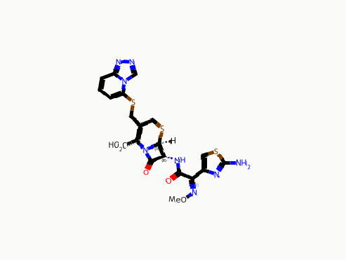 CO/N=C(\C(=O)N[C@@H]1C(=O)N2C(C(=O)O)=C(CSc3cccc4nncn34)CS[C@@H]12)c1csc(N)n1